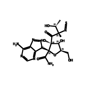 C[C@@H](O)[C@](C)(N=S)C(=O)[C@@]1(O)[C@H](O)[C@@H](CO)O[C@@]1(C(N)=O)n1cnc2c(N)ncnc21